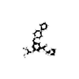 CC(C)Oc1cc(CN2CCN(C3CCCC3)CC2)cc(C(=O)Nc2nccs2)c1